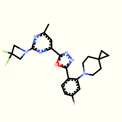 Cc1cc(-c2nnc(-c3ccc(I)cc3N3CCC4(CC3)CC4)o2)nc(N2CC(F)(F)C2)n1